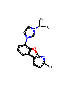 Cc1ccc2c(n1)oc1c(-n3cc[n+](C(C)C)c3)cccc12